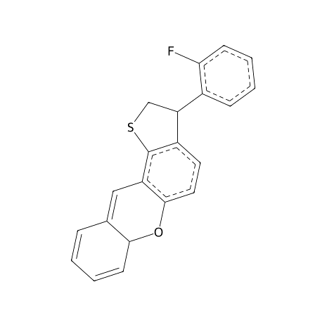 Fc1ccccc1C1CSc2c1ccc1c2C=C2C=CC=CC2O1